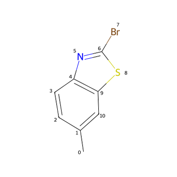 Cc1ccc2nc(Br)sc2c1